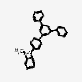 Cn1c2ccccc2n1-c1ccc(-c2cc(-c3ccccc3)cc(-c3ccccc3)c2)cc1